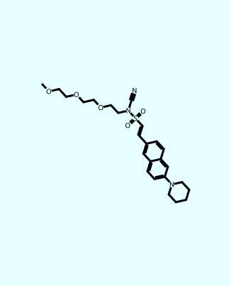 COCCOCCOCCN(C#N)S(=O)(=O)/C=C/c1ccc2cc(N3CCCCC3)ccc2c1